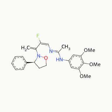 C=C(/C(F)=C\N=C(/C)Nc1cc(OC)c(OC)c(OC)c1)N1OCC[C@H]1c1ccccc1